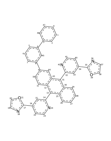 c1ccc(-c2cccc(-c3ccc4c(-c5cc(-c6ncco6)ccn5)c5ccccc5c(-c5cc(-c6ncco6)ccn5)c4c3)c2)cc1